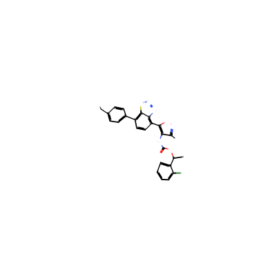 Cc1noc(-c2ccc(-c3ccc(CC(=O)O)cc3)c3snnc23)c1NC(=O)OC(C)c1ccccc1Cl